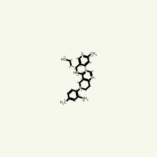 Cc1ccc(N2CCc3ncnc(N[C@H](CCO)c4ccc(C)nc4)c3C2)c(N)c1